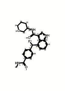 CNC(=O)c1ccc(C(F)c2cccc3[nH]cc(C(=O)NC4CCCOC4)c23)cc1